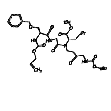 C=CCOC(=O)N[C@@H](COCc1ccccc1)C(=O)NCC(=O)N(CCC(=O)CNC(=O)OC(C)(C)C)[C@@H](CC(C)C)C(=O)OC(C)(C)C